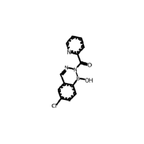 O=C(c1ccccn1)N1N=Cc2cc(Cl)ccc2B1O